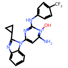 Nc1cc(-n2c(C3CC3)nc3ccccc32)nc(Nc2ccc(C(F)(F)F)cc2)[n+]1O